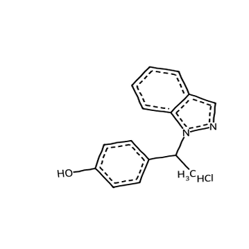 CC(c1ccc(O)cc1)n1ncc2ccccc21.Cl